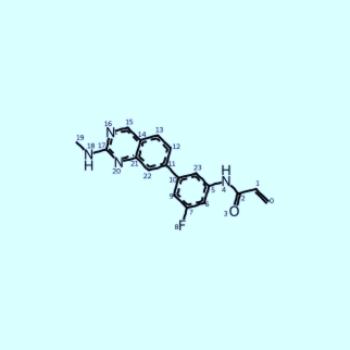 C=CC(=O)Nc1cc(F)cc(-c2ccc3cnc(NC)nc3c2)c1